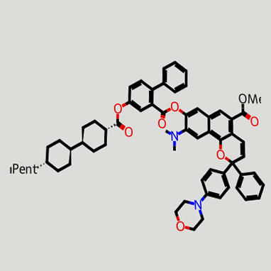 CCCCC[C@H]1CC[C@H]([C@H]2CC[C@H](C(=O)Oc3ccc(-c4ccccc4)c(C(=O)Oc4cc5cc(C(=O)OC)c6c(c5cc4N(C)C)OC(c4ccccc4)(c4ccc(N5CCOCC5)cc4)C=C6)c3)CC2)CC1